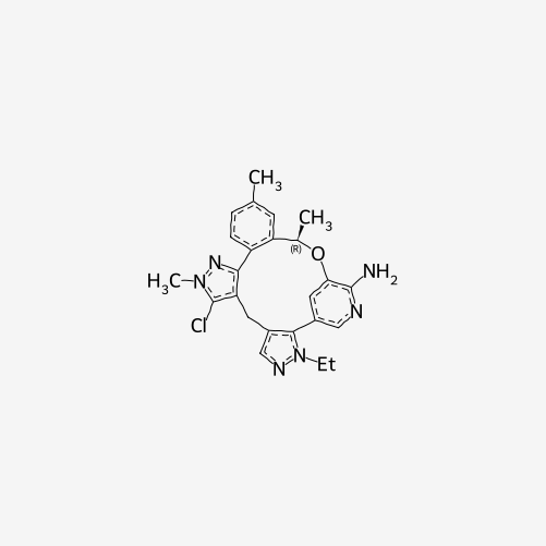 CCn1ncc2c1-c1cnc(N)c(c1)O[C@H](C)c1cc(C)ccc1-c1nn(C)c(Cl)c1C2